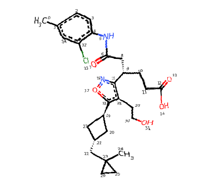 Cc1ccc(NC(=O)C[C@H](CCC(=O)O)c2noc([C@H]3C[C@H](CC4(C)CC4)C3)c2CCO)c(Cl)c1